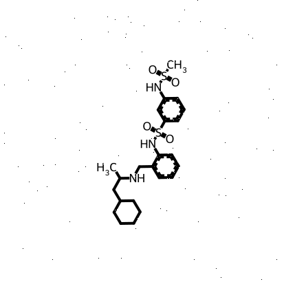 CC(CC1CCCCC1)NCc1ccccc1NS(=O)(=O)c1cccc(NS(C)(=O)=O)c1